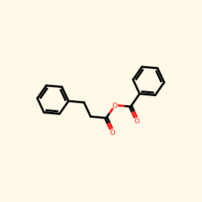 O=C(CCc1ccccc1)OC(=O)c1ccccc1